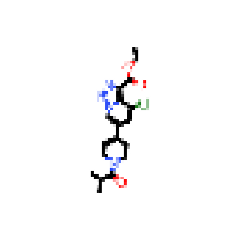 CCOC(=O)c1nnn2cc(C3=CCN(C(=O)C(C)C)CC3)cc(Cl)c12